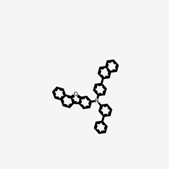 c1ccc(-c2cccc(N(c3ccc(-c4ccc5ccccc5c4)cc3)c3ccc4c(c3)oc3c5ccccc5ccc43)c2)cc1